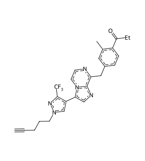 C#CCCCn1cc(-c2cnc3c(Cc4ccc(C(=O)CC)c(C)c4)nccn23)c(C(F)(F)F)n1